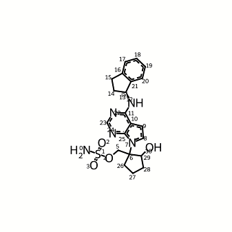 NS(=O)(=O)OCC1(n2ccc3c(N[C@H]4CCc5ccccc54)ncnc32)CCCC1O